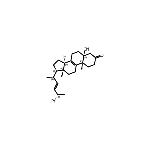 CC(C)[C@@H](C)C=C[C@@H](C)[C@H]1CC[C@H]2C3=C(CC[C@]12C)[C@@]1(C)CCC(=O)C[C@@]1(C#N)CC3